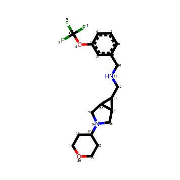 FC(F)(F)Oc1cccc(CNCC2C3CN(C4CCOCC4)CC23)c1